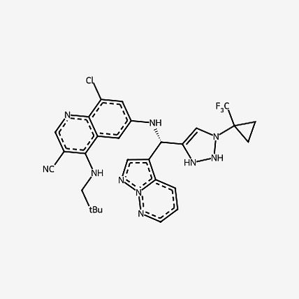 CC(C)(C)CNc1c(C#N)cnc2c(Cl)cc(N[C@H](C3=CN(C4(C(F)(F)F)CC4)NN3)c3cnn4ncccc34)cc12